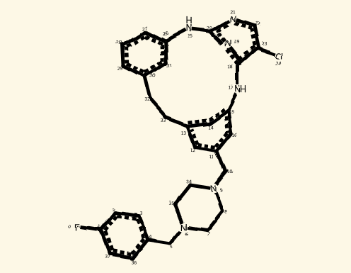 Fc1ccc(CN2CCN(Cc3cc4cc(c3)Nc3nc(ncc3Cl)Nc3cccc(c3)CC4)CC2)cc1